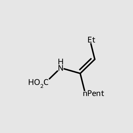 CCC=C(CCCCC)NC(=O)O